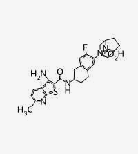 Cc1ccc2c(N)c(C(=O)NC3CCc4cc(N5CC6CCC(C5)N6C(=O)O)c(F)cc4C3)sc2n1